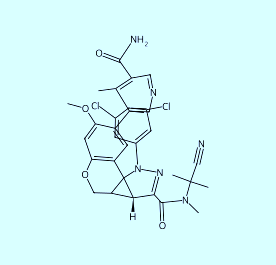 COc1cc2c(cc1-c1cncc(C(N)=O)c1C)C13C(CO2)[C@H]1C(C(=O)N(C)C(C)(C)C#N)=NN3c1cc(Cl)cc(Cl)c1